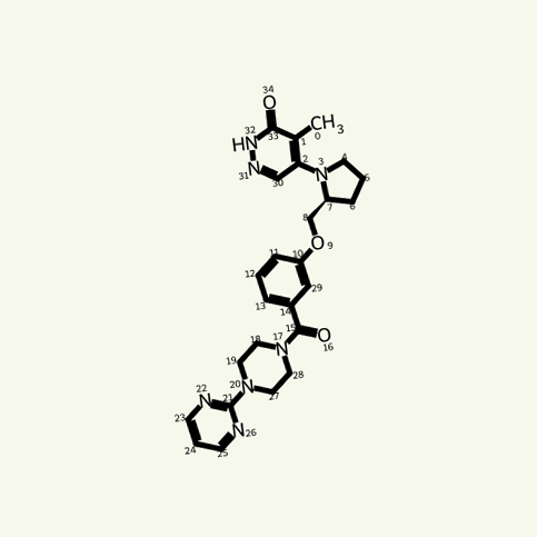 Cc1c(N2CCC[C@H]2COc2cccc(C(=O)N3CCN(c4ncccn4)CC3)c2)cn[nH]c1=O